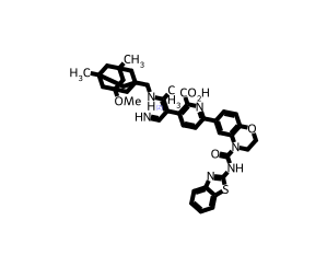 COC12CC3(C)CC(C)(CC(CN/C(C)=C(\C=N)c4ccc(-c5ccc6c(c5)N(C(=O)Nc5nc7ccccc7s5)CCO6)nc4C(=O)O)(C3)C1)C2